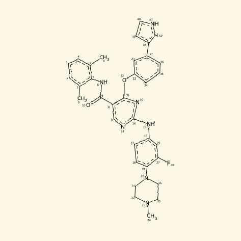 Cc1cccc(C)c1NC(=O)c1cnc(Nc2ccc(N3CCN(C)CC3)c(F)c2)nc1Oc1cccc(-c2cc[nH]n2)c1